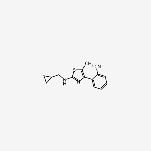 Cc1sc(NCC2CC2)nc1-c1ccccc1C#N